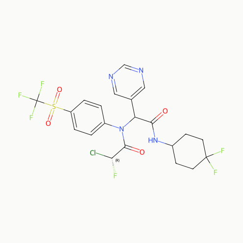 O=C(NC1CCC(F)(F)CC1)C(c1cncnc1)N(C(=O)[C@H](F)Cl)c1ccc(S(=O)(=O)C(F)(F)F)cc1